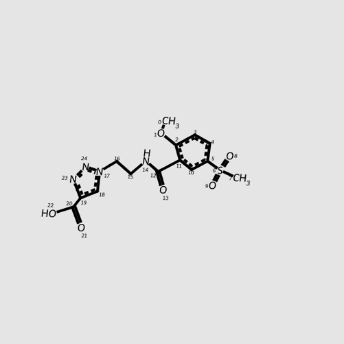 COc1ccc(S(C)(=O)=O)cc1C(=O)NCCn1cc(C(=O)O)nn1